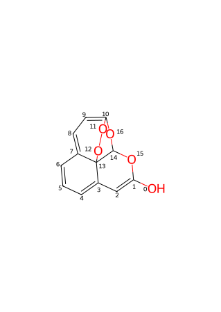 OC1=CC2=CC=CC3=CC=C4OOC32C(O1)O4